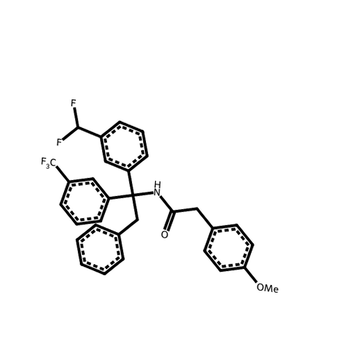 COc1ccc(CC(=O)NC(Cc2ccccc2)(c2cccc(C(F)F)c2)c2cccc(C(F)(F)F)c2)cc1